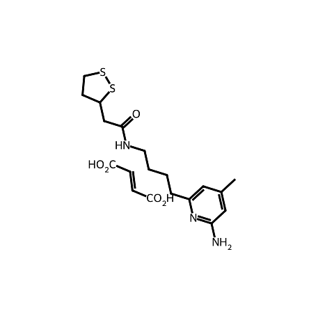 Cc1cc(N)nc(CCCCNC(=O)CC2CCSS2)c1.O=C(O)/C=C/C(=O)O